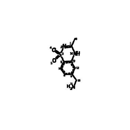 CC1=NS(=O)(=O)c2ccc(CN)cc2N1